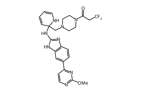 COc1nccc(-c2ccc3nc(NC4(CN5CCN(C(=O)CC(F)(F)F)CC5)C=CC=CN4)[nH]c3c2)n1